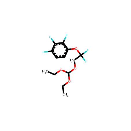 CCOC(OCC)O[SiH2]C(F)(F)Oc1ccc(F)c(F)c1F